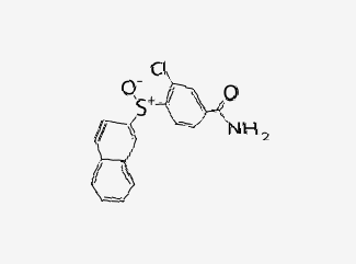 NC(=O)c1ccc([S+]([O-])c2ccc3ccccc3c2)c(Cl)c1